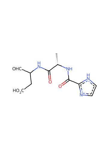 C[C@H](NC(=O)c1ncc[nH]1)C(=O)NC(C=O)CC(=O)O